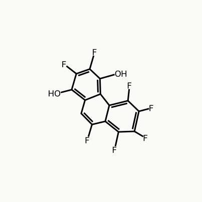 Oc1c(F)c(F)c(O)c2c1cc(F)c1c(F)c(F)c(F)c(F)c12